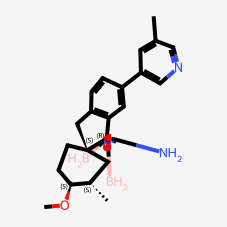 BC1(B)OC(N)=N[C@]12c1cc(-c3cncc(C)c3)ccc1C[C@@]21CC[C@H](OC)[C@@H](C)C1